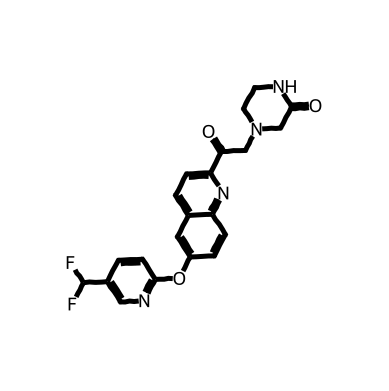 O=C1CN(CC(=O)c2ccc3cc(Oc4ccc(C(F)F)cn4)ccc3n2)CCN1